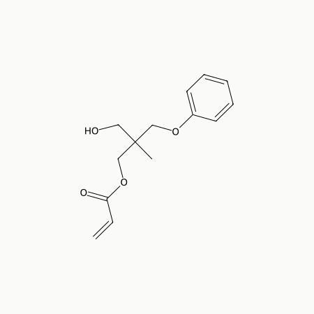 C=CC(=O)OCC(C)(CO)COc1ccccc1